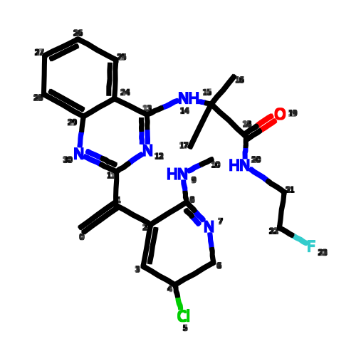 C=C(C1=CC(Cl)CN=C1NC)c1nc(NC(C)(C)C(=O)NCCF)c2ccccc2n1